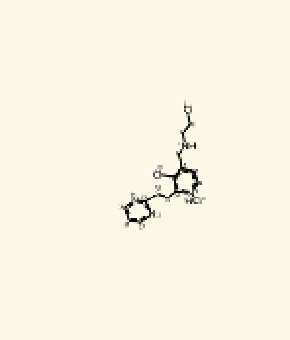 Cl.ClCCNCc1ccnc(CSc2ncccn2)c1Cl